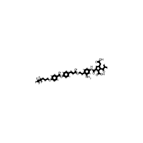 CC(C)C(=O)C1C(CC(=O)O)CC(C(=O)Nc2ccc(CCOC(=O)/C=C/c3ccc(OC(=O)c4ccc(OCCCC(F)(F)C(F)(F)F)cc4)cc3)c(N)c2)C1C(=O)O